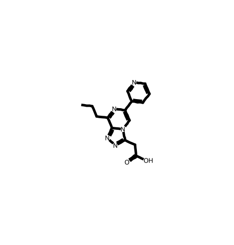 CCCc1nc(-c2cccnc2)cn2c(CC(=O)O)nnc12